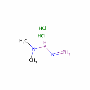 CN(C)PN=[PH3].Cl.Cl